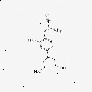 [C-]#[N+]C(=Cc1ccc(N(CCC)CCO)cc1C)[N+]#[C-]